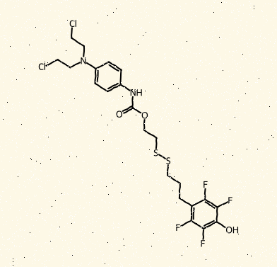 O=C(Nc1ccc(N(CCCl)CCCl)cc1)OCCSSCCCc1c(F)c(F)c(O)c(F)c1F